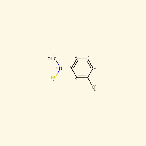 O=CN(S)c1cccc(C(F)(F)F)c1